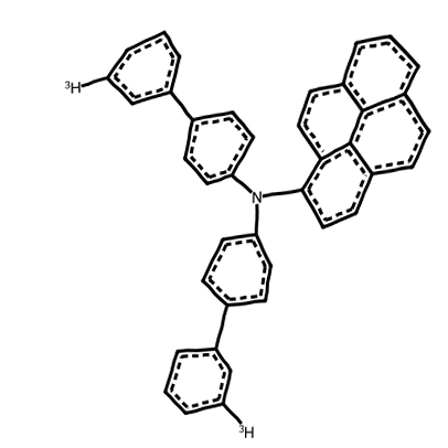 [3H]c1cccc(-c2ccc(N(c3ccc(-c4cccc([3H])c4)cc3)c3ccc4ccc5cccc6ccc3c4c56)cc2)c1